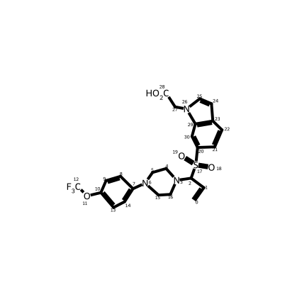 C=CC(N1CCN(c2ccc(OC(F)(F)F)cc2)CC1)S(=O)(=O)c1ccc2ccn(CC(=O)O)c2c1